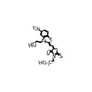 [C-]#[N+]c1ccc2c(c1)N(CCO)/C(=C/C=C1/SC(=S)N(CC(=O)O)C1=O)S2